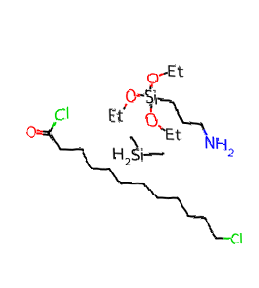 CCO[Si](CCCN)(OCC)OCC.C[SiH2]C.O=C(Cl)CCCCCCCCCCCCl